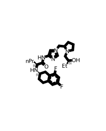 CCC[C@H](N[C@H]1CCc2cc(F)cc(F)c2C1)C(=O)Nc1cn(CC2CCCN2C[C@@H](O)CC)cn1